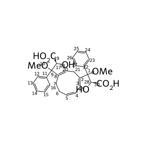 COC(/C1=C/C=C\CC/C(C(OC)(c2ccccc2)[C@H](O)C(=O)O)=C\C1)(c1ccccc1)[C@H](O)C(=O)O